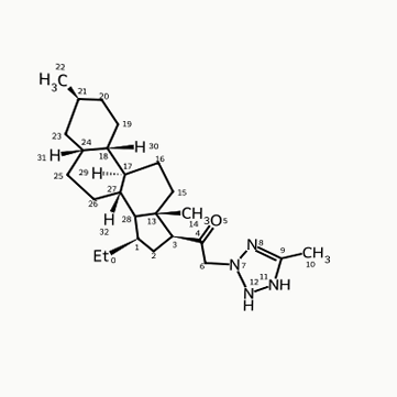 CC[C@@H]1C[C@H](C(=O)CN2N=C(C)NN2)[C@@]2(C)CC[C@@H]3[C@H]4CC[C@H](C)C[C@H]4CC[C@H]3C12